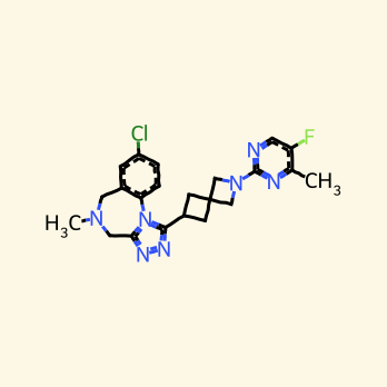 Cc1nc(N2CC3(CC(c4nnc5n4-c4ccc(Cl)cc4CN(C)C5)C3)C2)ncc1F